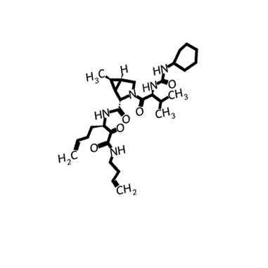 C=CCCNC(=O)C(=O)[C@@H](CCC=C)NC(=O)[C@@H]1C2[C@@H](C)[C@H]2CN1C(=O)[C@@H](NC(=O)NC1CCCCC1)C(C)C